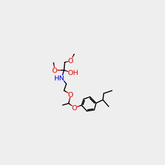 CCC(C)c1ccc(OC(C)OCCNC(O)(COC)OC)cc1